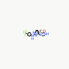 C[C@@H]1C(=O)NCCN1Cc1cccc2nc(Nc3ccc(C(F)(F)F)cc3)nn12